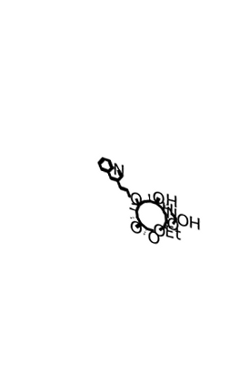 CC[C@H]1OC(=O)[C@H](C)C(=O)[C@H](C)[C@@H](C)[C@](C)(OC/C=C/c2cnc3ccccc3c2)C[C@@H](C)C(=O)[C@H](C)[C@H]2NC(O)O[C@@]21C